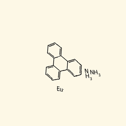 N.N.[Eu].c1ccc2c(c1)c1ccccc1c1ccccc21